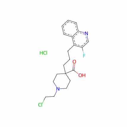 Cl.O=C(O)C1(CCCc2c(F)cnc3ccccc23)CCN(CCCl)CC1